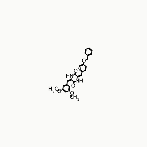 COc1cc(/C=c2/[nH]c(=O)/c(=C\c3ccc(OCc4ccccc4)cn3)[nH]c2=O)cc(OC)c1